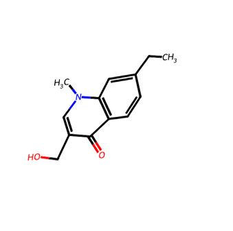 CCc1ccc2c(=O)c(CO)cn(C)c2c1